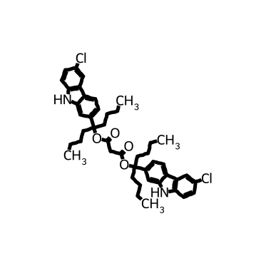 CCCCC(CCCC)(OC(=O)CC(=O)OC(CCCC)(CCCC)c1ccc2c(c1)[nH]c1ccc(Cl)cc12)c1ccc2c(c1)[nH]c1ccc(Cl)cc12